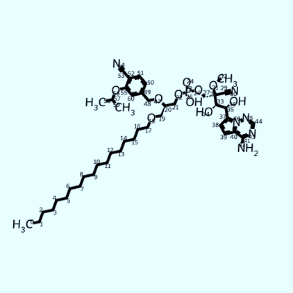 CCCCCCCCCCCCCCCCCCOC[C@H](COP(=O)(O)OC[C@@](C#N)(OC)[C@@H](O)[C@@H](O)c1ccc2c(N)ncnn12)OCc1ccc(C#N)c(OC(C)C)c1